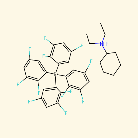 CC[NH+](CC)C1CCCCC1.Fc1cc(F)c(F)c([B-](c2cc(F)cc(F)c2F)(c2cc(F)cc(F)c2F)c2cc(F)cc(F)c2F)c1